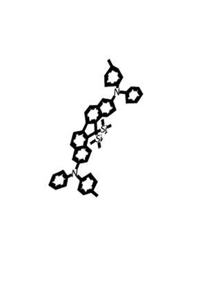 Cc1ccc(N(c2ccccc2)c2ccc3c4c(ccc3c2)-c2ccc3cc(N(c5ccccc5)c5ccc(C)cc5)ccc3c2C4([Si](C)(C)C)[Si](C)(C)C)cc1